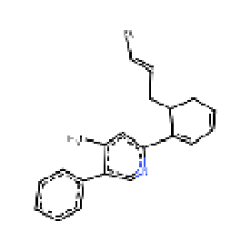 CCC=CCC1CC=CC=C1c1cc(C)c(-c2ccccc2)cn1